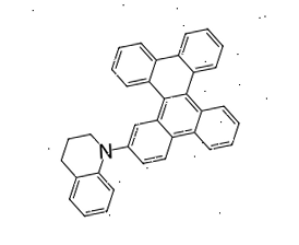 c1ccc2c(c1)CCCN2c1ccc2c3ccccc3c3c4ccccc4c4ccccc4c3c2c1